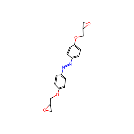 c1cc(OCC2CO2)ccc1N=Nc1ccc(OCC2CO2)cc1